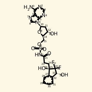 Nc1ncnc2c1ncn2[C@H]1C[C@H](O)[C@@H](COS(=O)(=O)NC(=O)CC[C@@]2(O)c3ccccc3[C@@H](O)C2(F)F)O1